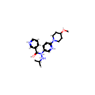 COC1CCN(c2ccc(N(NC(C)C)C(=O)c3cccnc3)cn2)CC1